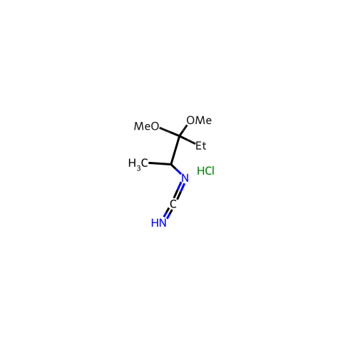 CCC(OC)(OC)C(C)N=C=N.Cl